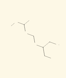 COC(C)OCOC(CO)CO